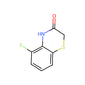 O=C1CSc2cccc(F)c2N1